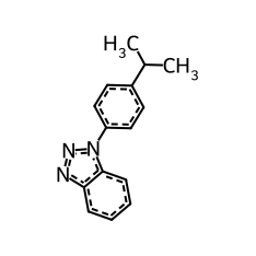 CC(C)c1ccc(-n2nnc3ccccc32)cc1